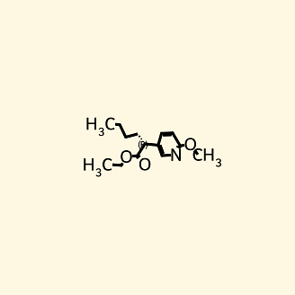 CCCC[C@@H](C(=O)OCC)c1ccc(OC)nc1